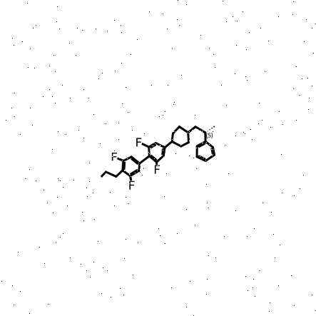 CCCc1c(F)cc(-c2c(F)cc(C3CCC(C[C@H](C)c4ccccc4)CC3)cc2F)cc1F